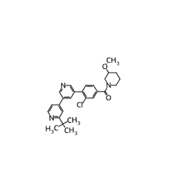 COC1CCCN(C(=O)c2ccc(-c3cncc(-c4ccnc(C(C)(C)C)c4)c3)c(Cl)c2)C1